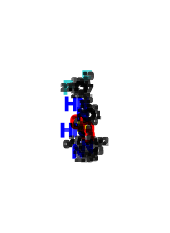 C=C/C(C(=O)NS(=O)(=O)c1cccc(NCc2cc(F)cc(F)c2)n1)=C(\N=C/C)N1CC(C)CC1(C)C